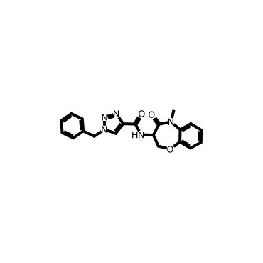 CN1C(=O)C(NC(=O)c2cn(Cc3ccccc3)nn2)COc2ccccc21